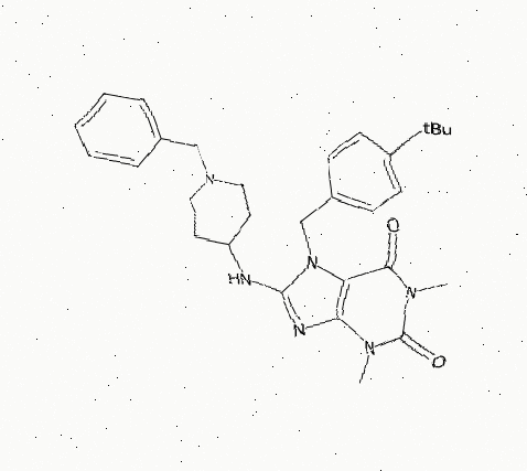 Cn1c(=O)c2c(nc(NC3CCN(Cc4ccccc4)CC3)n2Cc2ccc(C(C)(C)C)cc2)n(C)c1=O